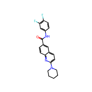 O=C(Nc1ccc(F)c(F)c1)c1ccc2nc(N3CCCCC3)ccc2c1